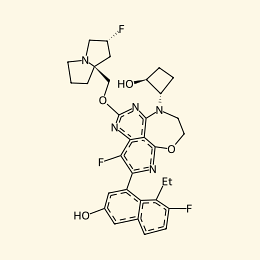 CCc1c(F)ccc2cc(O)cc(-c3nc4c5c(nc(OC[C@@]67CCCN6C[C@H](F)C7)nc5c3F)N([C@H]3CC[C@@H]3O)CCO4)c12